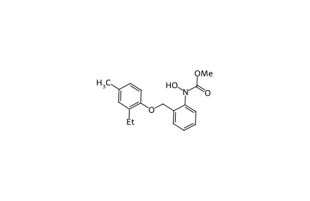 CCc1cc(C)ccc1OCc1ccccc1N(O)C(=O)OC